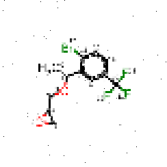 C[C@@H](OCC1CO1)c1cc(C(F)(F)F)ccc1Br